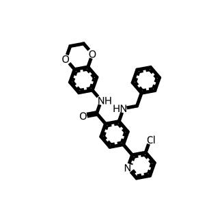 O=C(Nc1ccc2c(c1)OCCO2)c1ccc(-c2ncccc2Cl)cc1NCc1ccccc1